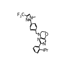 CC(C)c1ccccc1-c1ncc2c(n1)N(Cc1ccc(-c3nc(C(F)(F)F)cn3C)cc1)CCO2